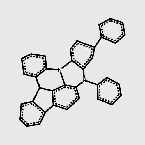 CC12c3ccccc3-c3ccc4c(c31)N(c1ccc(-c3ccccc3)cc1N4c1ccccc1)c1ccccc12